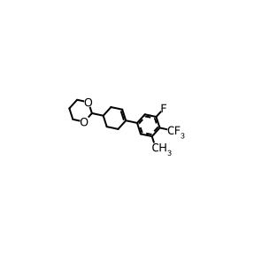 Cc1cc(C2=CCC(C3OCCCO3)CC2)cc(F)c1C(F)(F)F